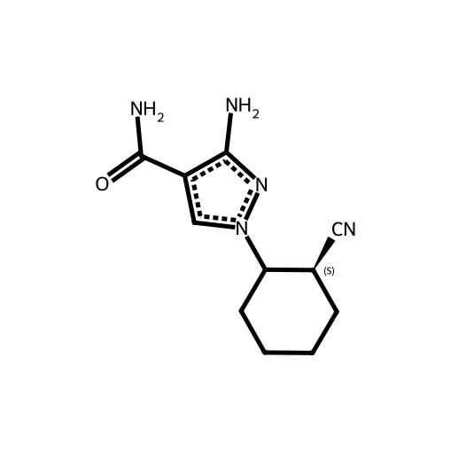 N#C[C@H]1CCCCC1n1cc(C(N)=O)c(N)n1